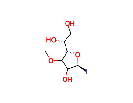 COC1C(O)[C@H](I)O[C@H]1[C@H](O)CO